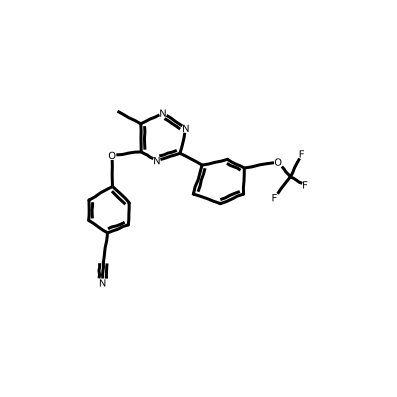 Cc1nnc(-c2cccc(OC(F)(F)F)c2)nc1Oc1ccc(C#N)cc1